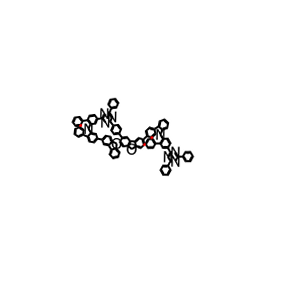 c1ccc(-c2nc(-c3ccccc3)nc(-c3ccc(-n4c5ccccc5c5ccc(-c6ccc7oc8ccc(-c9ccc(-c%10nc(-c%11ccccc%11)nc(-c%11ccc(-c%12ccccc%12)c(-n%12c%13ccccc%13c%13ccc(-c%14ccc%15oc%16ccccc%16c%15c%14)cc%13%12)c%11)n%10)cc9)cc8c7c6)cc54)c(-c4ccccc4)c3)n2)cc1